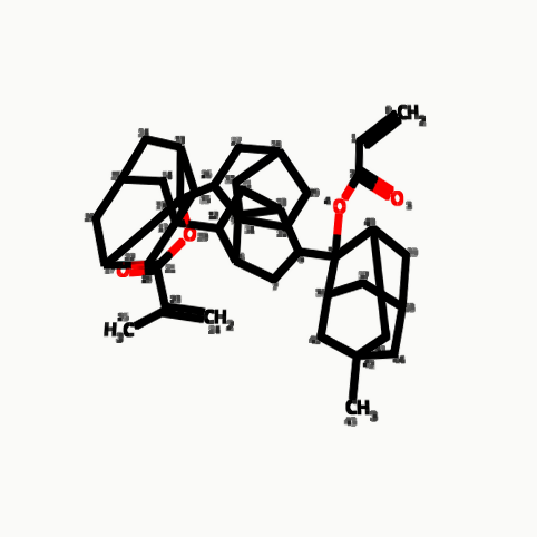 C=CC(=O)OC1(C2CC3CC2CC3C23CC4CC(C2)C(OC(=O)C(=C)C)(C2CC5CCC2C5)C(C4)C3)C2CC3CC1CC(C)(C3)C2